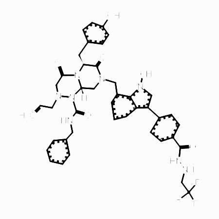 C=CCN1CC(=O)N2[C@@H](Cc3ccc(O)cc3)C(=O)N(Cc3cccc4c(-c5ccc(C(=O)NNCC(F)(F)F)cc5)cn(C)c34)C[C@@H]2N1C(=O)NCc1ccccc1